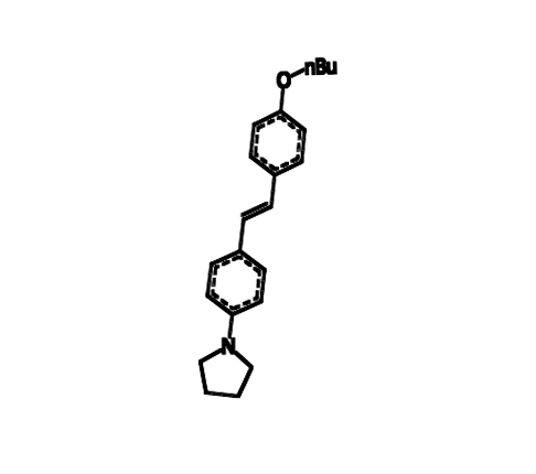 CCCCOc1ccc(C=Cc2ccc(N3CCCC3)cc2)cc1